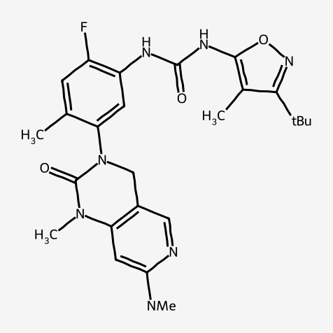 CNc1cc2c(cn1)CN(c1cc(NC(=O)Nc3onc(C(C)(C)C)c3C)c(F)cc1C)C(=O)N2C